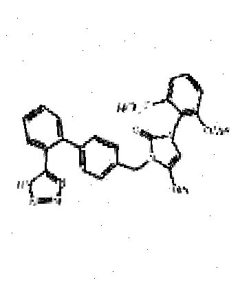 CCCc1cn(-c2c(OC)cccc2C(=O)O)c(=O)n1Cc1ccc(-c2ccccc2-c2nnn[nH]2)nc1